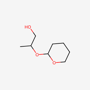 CC(CO)OC1CCCCO1